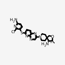 C[C@@H]1OCC2(CCN(c3cnc4nc(Sc5ccc(N)nc5Cl)ccc4n3)CC2)[C@@H]1N